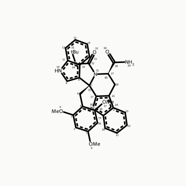 COc1cc(OC)c(C[C@]2(c3c[nH]c4ccccc34)c3[nH]c4ccccc4c3C[C@H](C(N)=O)N2C(=O)OC(C)(C)C)c(OC)c1